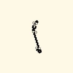 CCC1(OC(=O)CCCCCCCCCCC(=O)OC(C)(C)C2CCN(C(=O)OC(C)(C)C)CC2)CCCC1